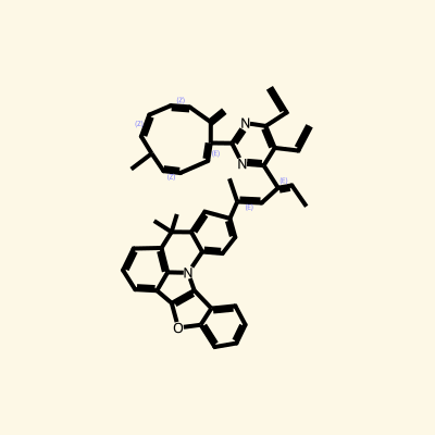 C=Cc1nc(/C2=C/C=C\C(C)/C=C\C=C/C2=C)nc(C(/C=C(\C)c2ccc3c(c2)C(C)(C)c2cccc4c5oc6ccccc6c5n-3c24)=C/C)c1C=C